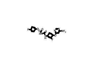 Nc1cc(Oc2ccc(NC(=S)NC(=O)COc3ccc(F)cc3)cc2F)ncn1